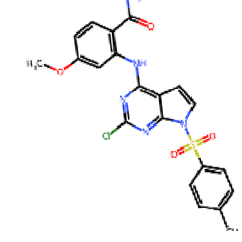 COc1ccc(C(N)=O)c(Nc2nc(Cl)nc3c2ccn3S(=O)(=O)c2ccc(C)cc2)c1